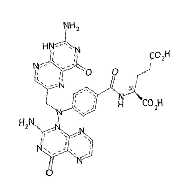 Nc1nc(=O)c2nc(CN(c3ccc(C(=O)N[C@@H](CCC(=O)O)C(=O)O)cc3)n3c(N)nc(=O)c4nccnc43)cnc2[nH]1